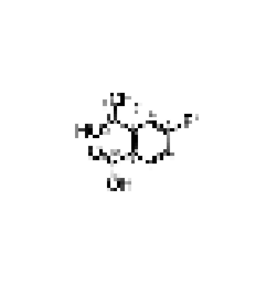 CC(O)c1cc(F)ccc1C(=O)O